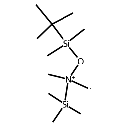 [CH2][N+](C)(O[Si](C)(C)C(C)(C)C)[Si](C)(C)C